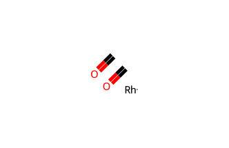 C=O.C=O.[Rh]